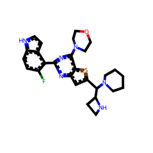 Fc1ccc2[nH]ccc2c1-c1nc(N2CCOCC2)c2sc(C(C3CCN3)N3CCCCC3)cc2n1